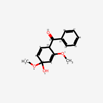 COC1=CC(O)(OC)C=CC1C(=O)c1ccccc1